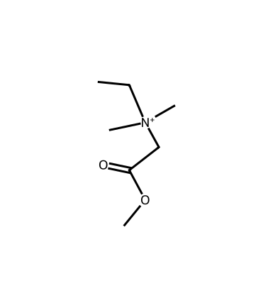 CC[N+](C)(C)CC(=O)OC